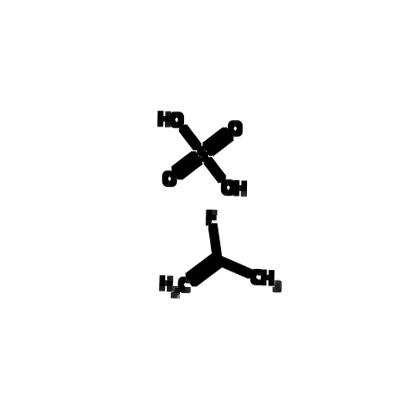 C=C(C)F.O=S(=O)(O)O